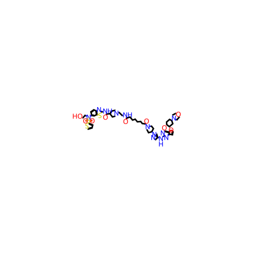 O=C(CCCCCCC(=O)N1CCC(n2cc(Nc3nc(OC4CCC(N5CCOCC5)CC4)c4occc4n3)cn2)CC1)NCCN1CCC(C(=O)Nc2nc3ccc(N(CCO)S(=O)(=O)c4cccs4)cc3s2)CC1